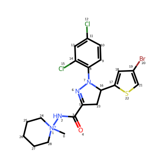 C[N+]1(NC(=O)C2=NN(c3ccc(Cl)cc3Cl)C(c3cc(Br)cs3)C2)CCCCC1